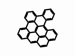 c1ccc2c(c1)c1cccc3c4cccc5cc6ccc7cccc8c7c6c(c54)c(c13)c28